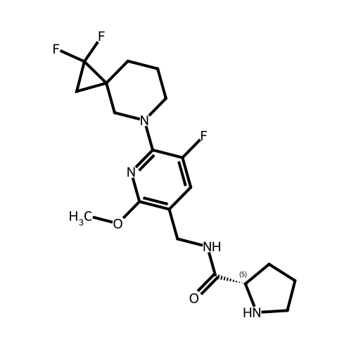 COc1nc(N2CCCC3(C2)CC3(F)F)c(F)cc1CNC(=O)[C@@H]1CCCN1